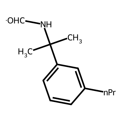 CCCc1cccc(C(C)(C)N[C]=O)c1